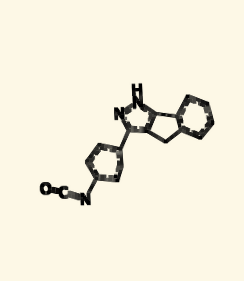 O=C=Nc1ccc(-c2n[nH]c3c2Cc2ccccc2-3)cc1